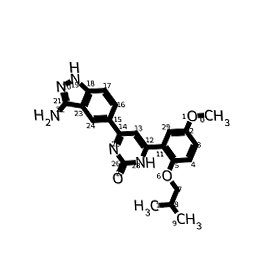 COc1ccc(OCC(C)C)c(-c2cc(-c3ccc4[nH]nc(N)c4c3)nc(=O)[nH]2)c1